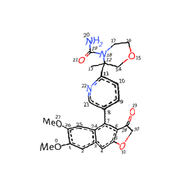 COc1cc2cc3c(c(-c4ccc(C5(C)COCCN5C(N)=O)nc4)c2cc1OC)C(=O)CO3